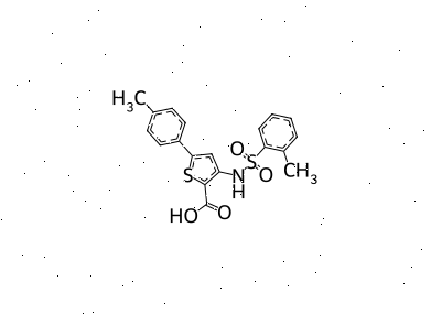 Cc1ccc(-c2cc(NS(=O)(=O)c3ccccc3C)c(C(=O)O)s2)cc1